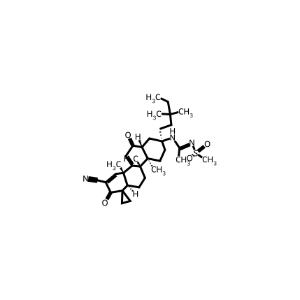 CCC(C)(C)CC[C@]1(N/C(C)=N/S(C)(=O)=O)CC[C@]2(C)[C@@H](C1)C(=O)C=C1[C@@]3(C)C=C(C#N)C(=O)C4(CC4)[C@@H]3CC[C@]12C